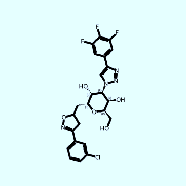 OC[C@H]1O[C@H](CC2CC(c3cccc(Cl)c3)=NO2)[C@H](O)[C@@H](n2cc(-c3cc(F)c(F)c(F)c3)nn2)[C@H]1O